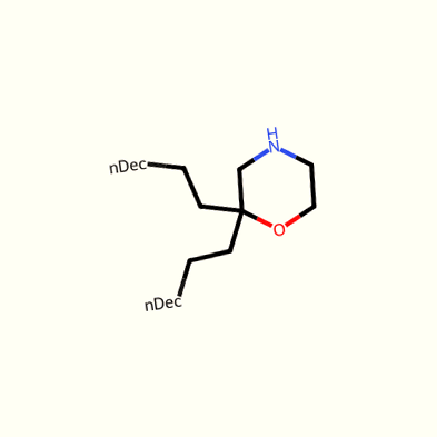 CCCCCCCCCCCCC1(CCCCCCCCCCCC)CNCCO1